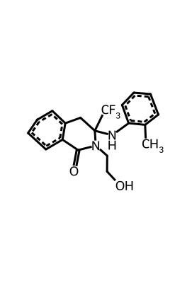 Cc1ccccc1NC1(C(F)(F)F)Cc2ccccc2C(=O)N1CCO